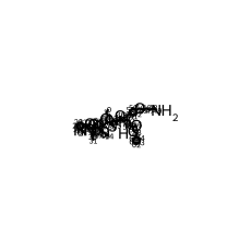 CCCO[C@H](CC(C(C)C)N(COCC)C(=O)[C@@H](NC(=O)[C@H]1CCCCN1C)[C@@H](C)CC)c1nc(C(=O)N[C@@H](Cc2ccc(OCCCCN)cc2)C[C@H](C)C(=O)OCc2ccccc2)cs1